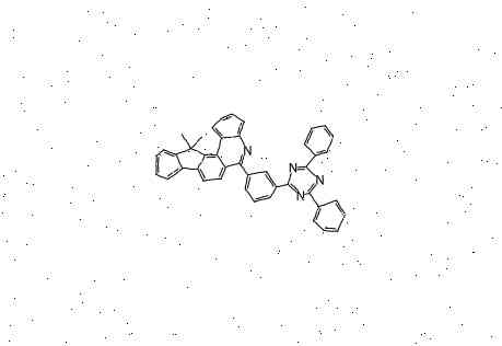 CC1(C)c2ccccc2-c2ccc3c(-c4cccc(-c5nc(-c6ccccc6)nc(-c6ccccc6)n5)c4)nc4ccccc4c3c21